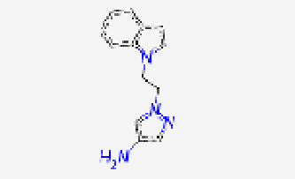 Nc1cnn(CCn2ccc3ccccc32)c1